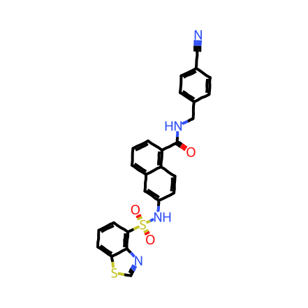 N#Cc1ccc(CNC(=O)c2cccc3cc(NS(=O)(=O)c4cccc5scnc45)ccc23)cc1